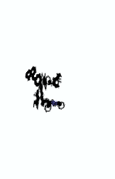 C=C(CCN(C[C@@H](C)CC#N)c1nc(OC[C@H](CC)C[C@@H](F)CC)nc2c1CCC(Cc1cccc3cccc(C)c13)=CC2)CC(=O)/C=C/COC